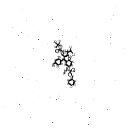 CCN(C(=O)OCc1ccccc1)c1ccc2nc(CC(C)C)c(CNC(=O)OC(C)(C)C)c(-c3ccc(C)cc3)c2c1